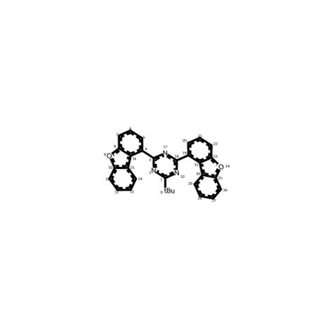 CC(C)(C)c1nc(-c2cccc3oc4ccccc4c23)nc(-c2cccc3oc4ccccc4c23)n1